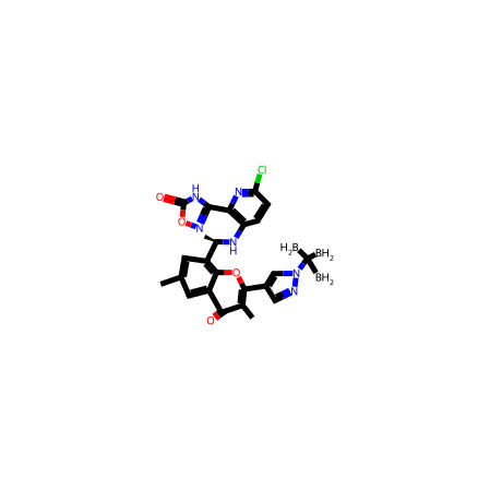 BC(B)(B)n1cc(-c2oc3c([C@@H](C)Nc4ccc(Cl)nc4-c4noc(=O)[nH]4)cc(C)cc3c(=O)c2C)cn1